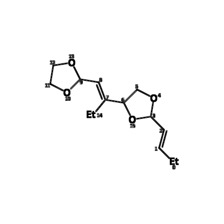 CC/C=C/C1OCC(/C(=C/C2OCCO2)CC)O1